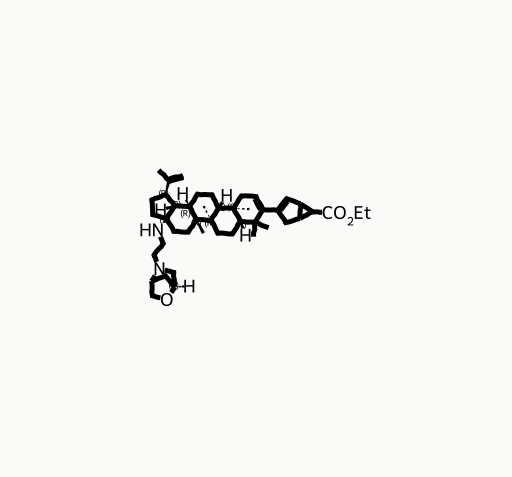 C=C(C)[C@@H]1CC[C@]2(NCCN3C[C@@H]4CC3CO4)CC[C@]3(C)[C@H](CC[C@@H]4[C@@]5(C)CC=C(C6=CC7C(C6)C7C(=O)OCC)C(C)(C)[C@@H]5CC[C@]43C)[C@@H]12